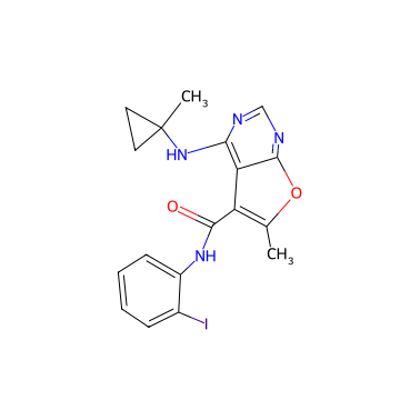 Cc1oc2ncnc(NC3(C)CC3)c2c1C(=O)Nc1ccccc1I